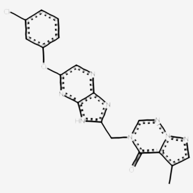 Cc1cnn2ncn(Cc3nc4ncc(Oc5cccc(Cl)c5)nc4[nH]3)c(=O)c12